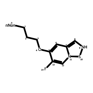 CCCCCCCCCCCCOC1=CC2=CNSN2C=C1F